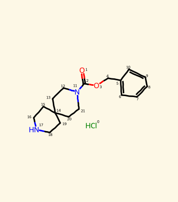 Cl.O=C(OCc1ccccc1)N1CCC2(CCNCC2)CC1